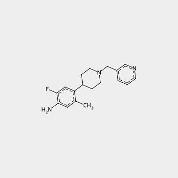 Cc1cc(N)c(F)cc1C1CCN(Cc2cccnc2)CC1